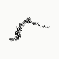 CCCCCCCCC#CCCCCCCCCOCC(CN1CCCCC1)OCCOC(=O)CNC(=O)O[C@H]1CCC2(C)C(=CCC3[C@@H]2CC[C@]2(C)[C@H](C(C)CCCC(C)C)CC[C@@H]32)C1